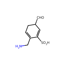 NCC1=CCC(C=O)C=C1S(=O)(=O)O